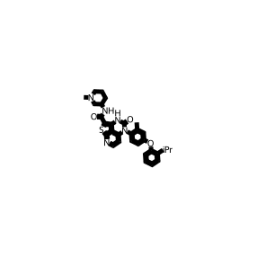 Cc1cc(Oc2ccccc2C(C)C)ccc1N1C(=O)Nc2c(C(=O)NC3CCCN(C)C3)sc3nccc1c23